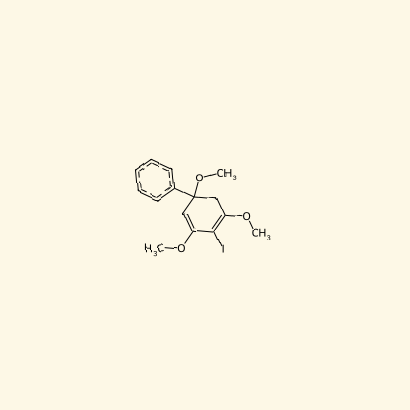 COC1=CC(OC)(c2ccccc2)CC(OC)=C1I